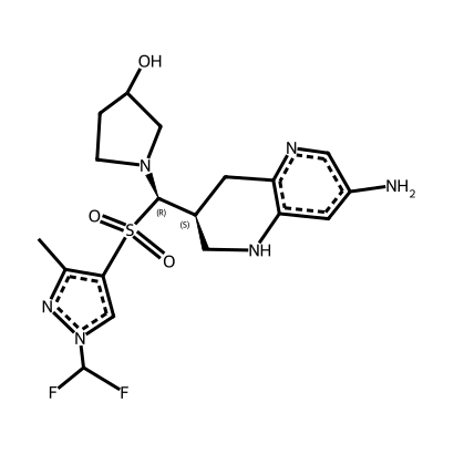 Cc1nn(C(F)F)cc1S(=O)(=O)[C@H]([C@@H]1CNc2cc(N)cnc2C1)N1CCC(O)C1